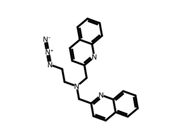 [N-]=[N+]=NCCN(Cc1ccc2ccccc2n1)Cc1ccc2ccccc2n1